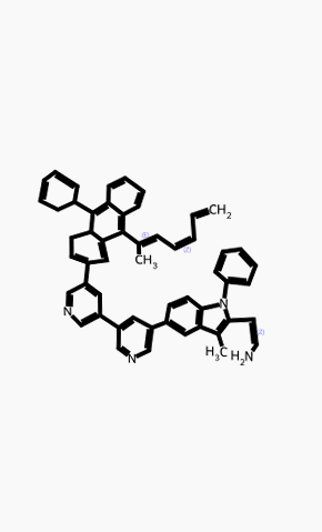 C=C/C=C\C=C(/C)C1=c2ccccc2=C(C2C=CC=CC2)C2CC=C(c3cncc(-c4cncc(-c5ccc6c(c5)c(C)c(/C=C\N)n6-c5ccccc5)c4)c3)C=C12